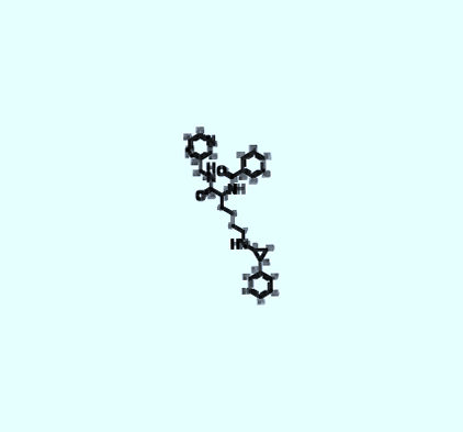 O=C(NC(CCCCNC1CC1c1ccccc1)C(=O)NCc1cnccn1)c1ccccc1